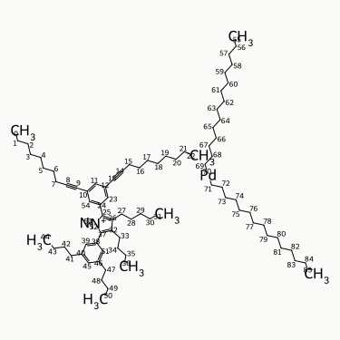 CCCCCCCCC#Cc1cc(C#CCCCCCCCC)cc(C2=C(CCCCC)C(CCCC)=C(c3cc(CCCC)cc(CCCC)c3)[N+]2=[N-])c1.CCCCCCCCCCCCCC[CH2][Pd][CH2]CCCCCCCCCCCCCC